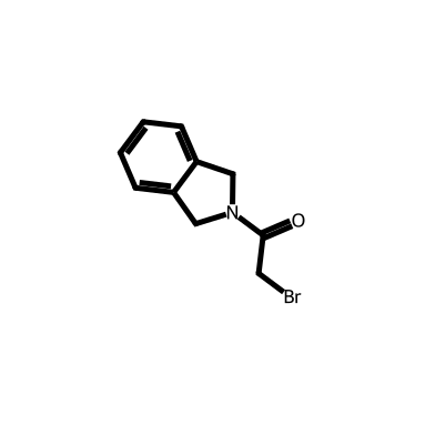 O=C(CBr)N1Cc2ccccc2C1